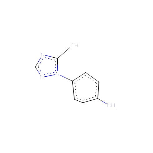 Cc1ncnn1-c1ccc(N)cc1